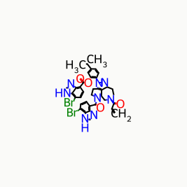 C=CC(=O)N1CCc2nn(-c3ccc(C(C)C)cc3OC(=O)c3ccc(Br)c4[nH]cnc34)c3c2C(C1)N(C(=O)c1ccc(Br)c2[nH]cnc12)CC3